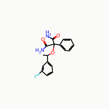 CC(OC(C(N)=O)(C(N)=O)c1ccccc1)c1cccc(F)c1